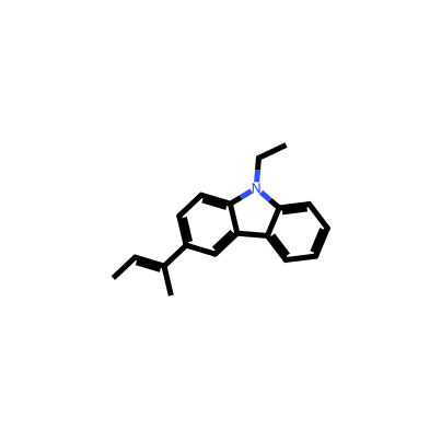 C/C=C(\C)c1ccc2c(c1)c1ccccc1n2CC